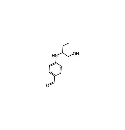 CCC(CO)Nc1ccc(C=O)cc1